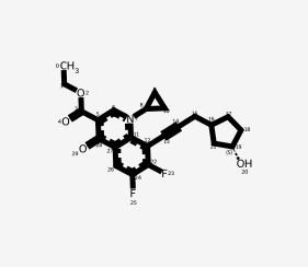 CCOC(=O)c1cn(C2CC2)c2c(C#CCC3CC[C@H](O)C3)c(F)c(F)cc2c1=O